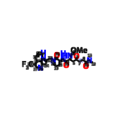 COC(=O)NC(CC/C=C/C(=O)N(C)C)C(=O)Nc1cccn(Cc2cc3ncc(C(F)(F)F)c(CC(C)C)c3[nH]2)c1=O